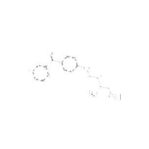 O=C(c1ccccc1)c1ccc(OCCC(O)CO)cc1